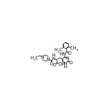 CCN1CCN(C(=O)NC(Cc2c[nH]c(=O)nc2NC(=O)c2c(C)cccc2C)C(=O)O)CC1